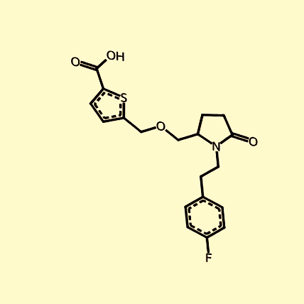 O=C(O)c1ccc(COCC2CCC(=O)N2CCc2ccc(F)cc2)s1